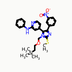 CSc1nc(-c2cccc([N+](=O)[O-])c2)c(-c2ccnc(Nc3ccccc3)c2)n1COCC[Si](C)(C)C